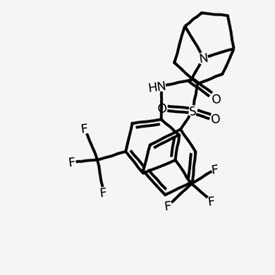 O=C(Nc1cc(C(F)(F)F)cc(C(F)(F)F)c1)N1C2CCC1CC(S(=O)(=O)c1ccccc1)C2